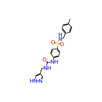 Cc1ccc(CNS(=O)(=O)c2ccc(NC(=O)NCc3cn[nH]c3)cc2)cc1